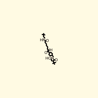 CC(C)(C)CCNC(=O)CCCCCNC(=O)C1CCC(CN2C(=O)C(C(C)(C)C)CC2O)CC1